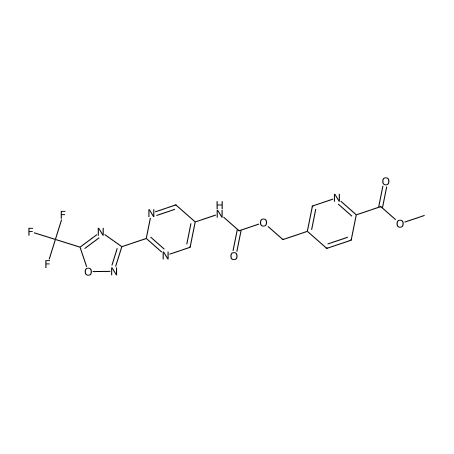 COC(=O)c1ccc(COC(=O)Nc2cnc(-c3noc(C(F)(F)F)n3)nc2)cn1